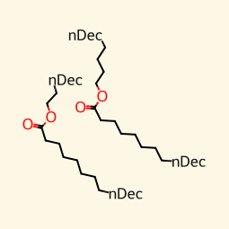 CCCCCCCCCCCCCCCCCC(=O)OCCCCCCCCCCCC.CCCCCCCCCCCCCCCCCC(=O)OCCCCCCCCCCCCCC